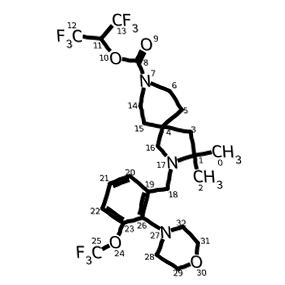 CC1(C)CC2(CCN(C(=O)OC(C(F)(F)F)C(F)(F)F)CC2)CN1Cc1cccc(OC(F)(F)F)c1N1CCOCC1